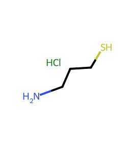 Cl.NCCCS